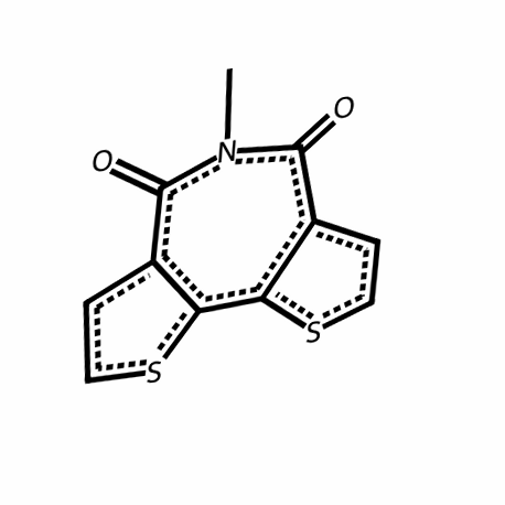 Cn1c(=O)c2ccsc2c2sccc2c1=O